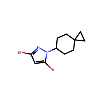 Brc1cc(Br)n(C2CCC3(CC2)CC3)n1